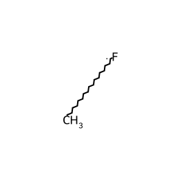 CCCCCCCCCCCCCCCCC[CH]F